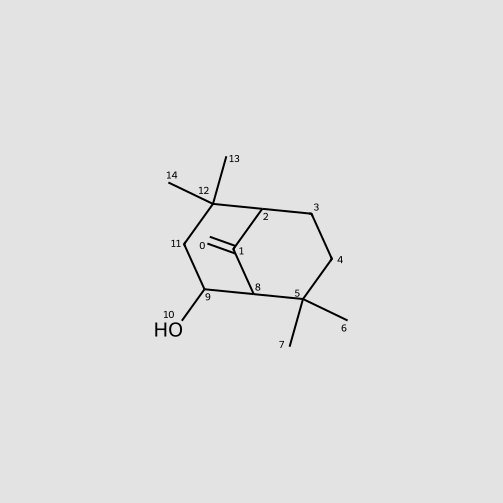 C=C1C2CCC(C)(C)C1C(O)CC2(C)C